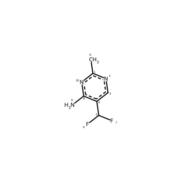 Cc1ncc(C(F)F)c(N)n1